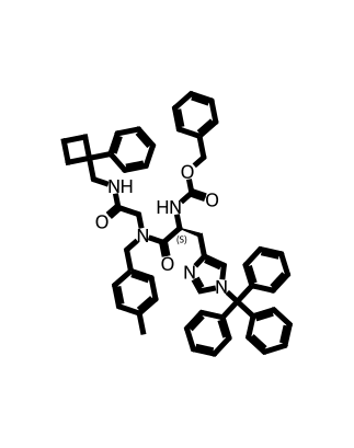 Cc1ccc(CN(CC(=O)NCC2(c3ccccc3)CCC2)C(=O)[C@H](Cc2cn(C(c3ccccc3)(c3ccccc3)c3ccccc3)cn2)NC(=O)OCc2ccccc2)cc1